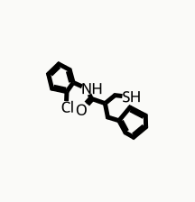 O=C(Nc1ccccc1Cl)C(CS)Cc1ccccc1